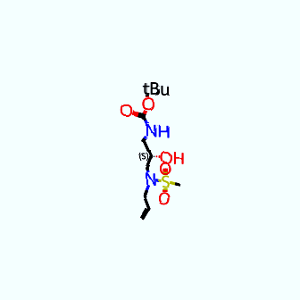 C=CCN(C[C@@H](O)CNC(=O)OC(C)(C)C)S(C)(=O)=O